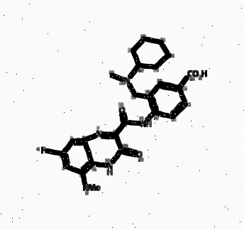 CNc1cc(F)cc2nc(C(=O)Nc3ccc(C(=O)O)cc3CN(C)C3CCCCC3)c(=O)[nH]c12